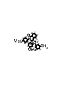 COc1ccc([C@@H]2[C@@H](C(=O)Nc3cccc(C)c3)c3ccccc3C(=O)N2c2ccc(OC)cc2)cc1